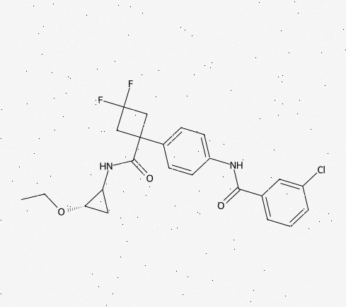 CCO[C@H]1CC1NC(=O)C1(c2ccc(NC(=O)c3cccc(Cl)c3)cc2)CC(F)(F)C1